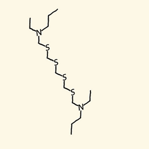 CCCN(CC)CSCSCSCSCN(CC)CCC